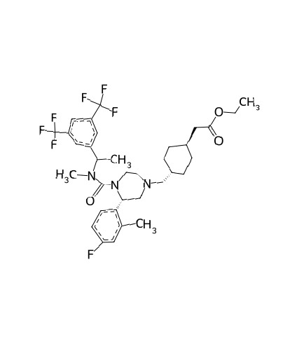 CCOC(=O)C[C@H]1CC[C@H](CN2CCN(C(=O)N(C)C(C)c3cc(C(F)(F)F)cc(C(F)(F)F)c3)[C@@H](c3ccc(F)cc3C)C2)CC1